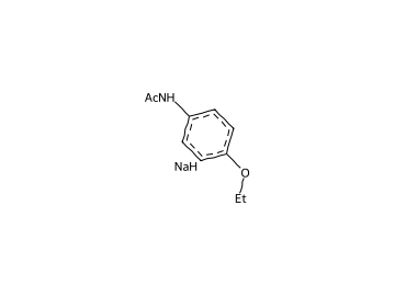 CCOc1ccc(NC(C)=O)cc1.[NaH]